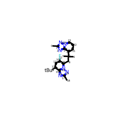 Cc1nc2c(C(C)(C)Cc3c(F)cc(C(C)(C)C)c4nc(C)nn34)cccn2n1